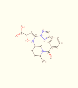 CC1CCC(N2OC(C(=O)O)C=C2n2nccn2)CN1C(=O)c1ccccc1